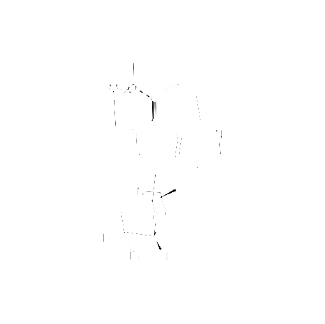 CC[C@H]1CN2CC[C@H]1C[C@H]2[C@H](Oc1ccc(C)cc1)c1ccnc2ccc(OC)cc12